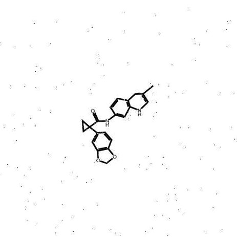 CC1=CNc2cc(NC(=O)C3(c4ccc5c(c4)OCO5)CC3)ccc2C1